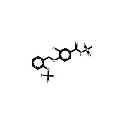 CS(=O)(=O)NC(=O)c1ccc(OCc2ccccc2OC(F)(F)F)c(Cl)c1